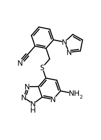 N#Cc1cccc(-n2cccn2)c1CSc1cc(N)nc2[nH]nnc12